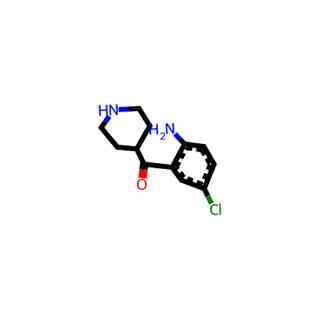 Nc1ccc(Cl)cc1C(=O)C1CCNCC1